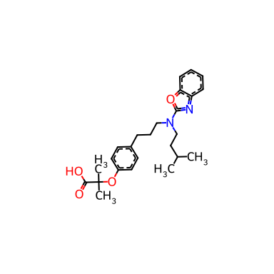 CC(C)CCN(CCCc1ccc(OC(C)(C)C(=O)O)cc1)c1nc2ccccc2o1